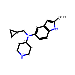 CCOC(=O)c1cc2cc(N(CC3CC3)C3CCNCC3)ccc2[nH]1